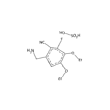 CCOc1cc(CN)c(C#N)c(F)c1OCC.O=S(=O)(O)O